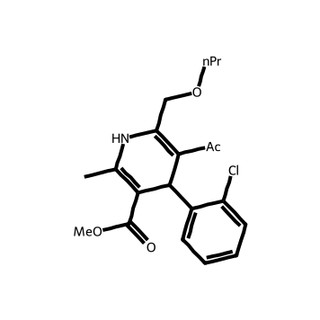 CCCOCC1=C(C(C)=O)C(c2ccccc2Cl)C(C(=O)OC)=C(C)N1